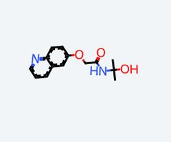 CC(C)(O)NC(=O)COc1ccc2ncccc2c1